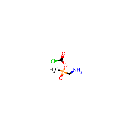 CP(=O)(CN)OC(=O)Cl